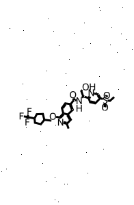 CCS(=O)(=O)c1ccc(C(CO)NC(=O)c2ccc3c(OCC4CCC(C(F)(F)F)CC4)nc(C)cc3c2)nc1